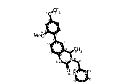 COc1cc(OC(F)(F)F)ccc1-c1ccc2c(c1)C(C)N(Cc1ncccn1)C(=O)O2